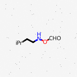 CC(C)CCNOC=O